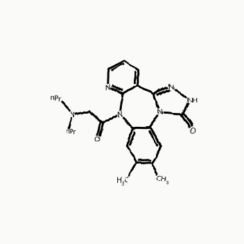 CCCN(CCC)CC(=O)N1c2cc(C)c(C)cc2-n2c(n[nH]c2=O)-c2cccnc21